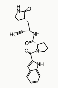 C#C[C@H](C[C@@H]1CCNC1=O)NC(=O)[C@@H]1CCCN1C(=O)c1cc2ccccc2[nH]1